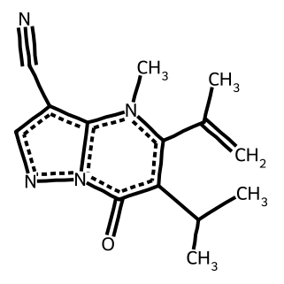 C=C(C)c1c(C(C)C)c(=O)n2ncc(C#N)c2n1C